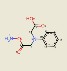 NOC(=O)CN(CC(=O)O)c1ccccc1